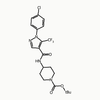 CC(C)(C)OC(=O)N1CCC(NC(=O)c2cnn(-c3ccc(Cl)cc3)c2C(F)(F)F)CC1